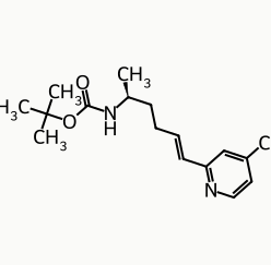 C[C@@H](CC/C=C/c1cc(Cl)ccn1)NC(=O)OC(C)(C)C